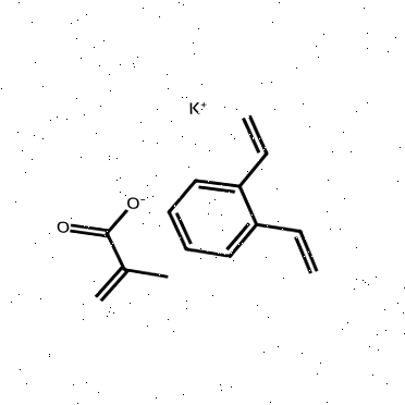 C=C(C)C(=O)[O-].C=Cc1ccccc1C=C.[K+]